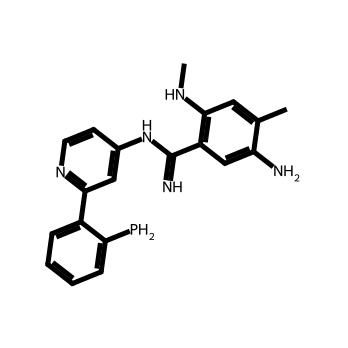 CNc1cc(C)c(N)cc1C(=N)Nc1ccnc(-c2ccccc2P)c1